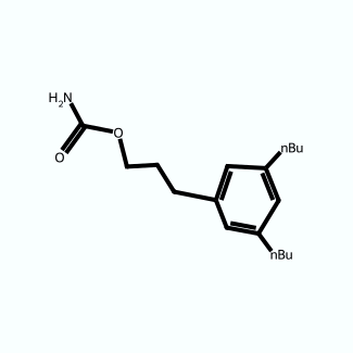 CCCCc1cc(CCCC)cc(CCCOC(N)=O)c1